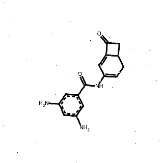 Nc1cc(N)cc(C(=O)NC2=CCC3CC(=O)C3=C2)c1